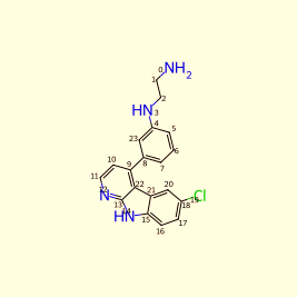 NCCNc1cccc(-c2ccnc3[nH]c4ccc(Cl)cc4c23)c1